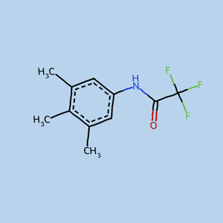 Cc1cc(NC(=O)C(F)(F)F)cc(C)c1C